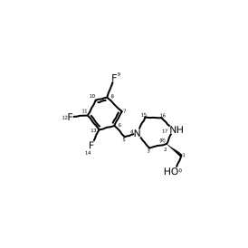 OC[C@H]1CN(Cc2cc(F)cc(F)c2F)CCN1